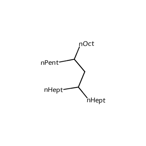 CCCCCCCCC(CCCCC)CC(CCCCCCC)CCCCCCC